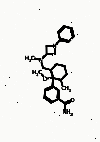 COC1(c2cccc(C(N)=O)c2)C(C)CCCC1CN(C)C1CN(c2ccccc2)C1